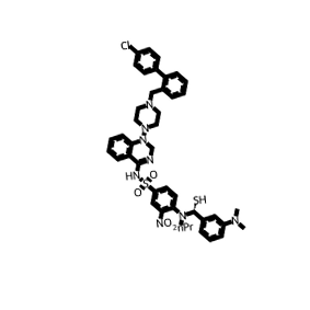 CCCN(c1ccc(S(=O)(=O)NC2=NCN(N3CCN(Cc4ccccc4-c4ccc(Cl)cc4)CC3)c3ccccc32)cc1[N+](=O)[O-])[C@H](S)c1cccc(N(C)C)c1